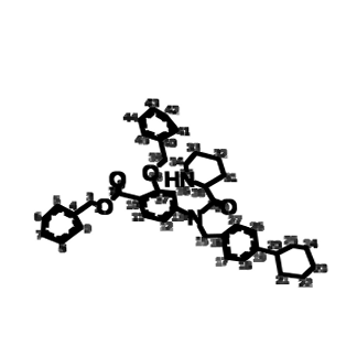 O=C(OCc1ccccc1)c1ccc(N(Cc2ccc(C3CCCCC3)cc2)C(=O)C2CCCCN2)cc1OCc1ccccc1